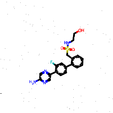 Nc1cnc(-c2ccc(-c3ccccc3CS(=O)(=O)NCCO)cc2F)cn1